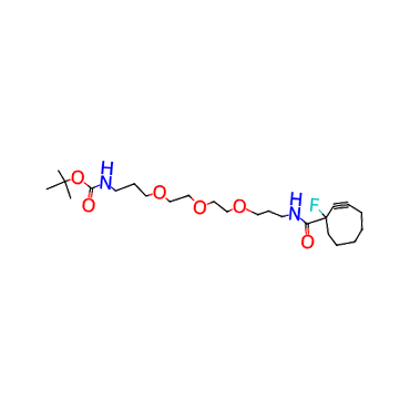 CC(C)(C)OC(=O)NCCCOCCOCCOCCCNC(=O)C1(F)C#CCCCCC1